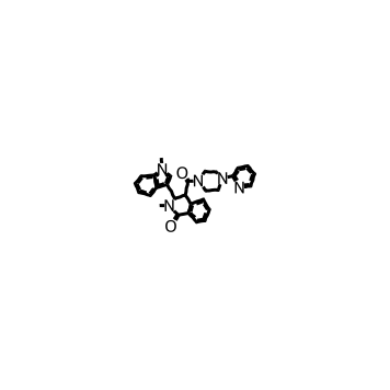 CN1C(=O)c2ccccc2C(C(=O)N2CCN(c3ccccn3)CC2)C1c1cn(C)c2ccccc12